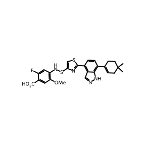 COc1cc(C(=O)O)c(F)cc1NSc1csc(-c2ccc(C3=CCC(C)(C)CC3)c3[nH]ncc23)n1